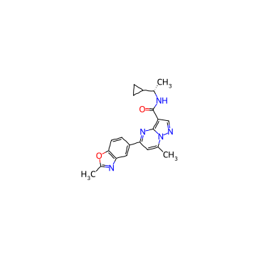 Cc1nc2cc(-c3cc(C)n4ncc(C(=O)N[C@@H](C)C5CC5)c4n3)ccc2o1